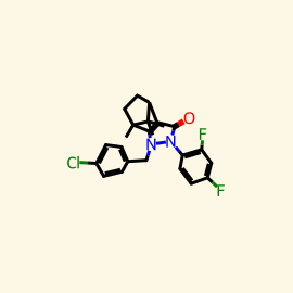 CC12CCC(c3c1n(Cc1ccc(Cl)cc1)n(-c1ccc(F)cc1F)c3=O)C2(C)C